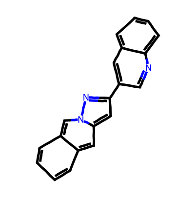 c1ccc2cn3nc(-c4cnc5ccccc5c4)cc3cc2c1